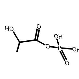 CC(O)C(=O)OP(=O)(O)O